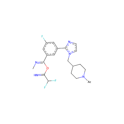 C/N=C(\OC(=N)C(F)F)c1cc(F)cc(-c2nccn2CC2CCN(C(C)=O)CC2)c1